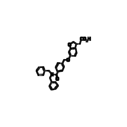 O=C(O)CC1COc2cc(OCc3ccc(C(=O)N(Cc4ccccc4)Cc4ccccc4)cc3)ccc21